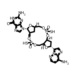 Nc1nc2c(ncn2[C@@H]2O[C@@H]3COP(=O)(S)O[C@H]4C[C@H](c5cnc6c(N)ccnn56)O[C@@H]4COP(=O)(S)O[C@@H]2C3)c(=O)[nH]1